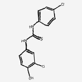 Oc1ccc(NC(=S)Nc2ccc(Cl)cc2)cc1Cl